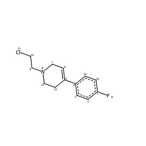 Fc1ccc(C2=CCN(CCCl)CC2)cc1